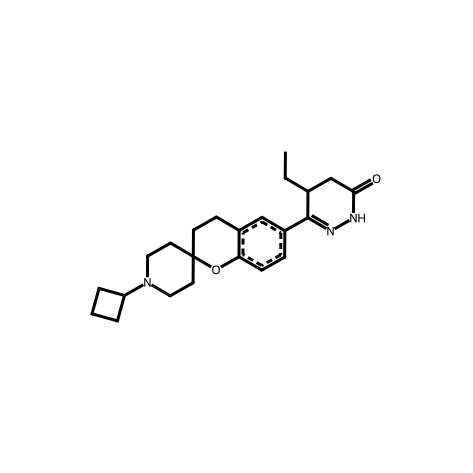 CCC1CC(=O)NN=C1c1ccc2c(c1)CCC1(CCN(C3CCC3)CC1)O2